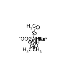 Cc1ccccc1Cc1ccc([C@H](CC(=O)[O-])NC(=O)Nc2c([O-])cc(C)n(C)c2=O)s1.[Na+].[Na+]